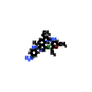 CCc1cc(NC2C[C@@H](C)O[C@@H](C)C2)nc(-c2cc(NC3CCC(N)CC3)ncc2Cl)c1CC